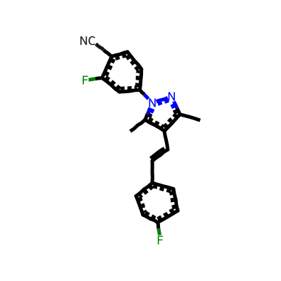 Cc1nn(-c2ccc(C#N)c(F)c2)c(C)c1C=Cc1ccc(F)cc1